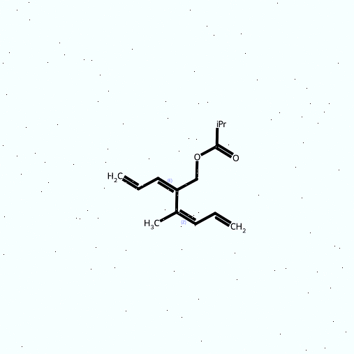 C=C/C=C(C)\C(=C/C=C)COC(=O)C(C)C